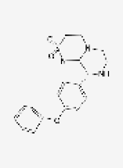 O=S1(=O)CCN2CCN[C@H](c3ccc(Oc4ccccc4)cc3)C2=N1